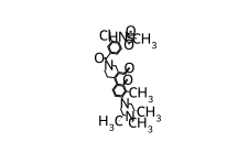 Cc1c(N2C[C@@H](C)N(C)[C@@H](C)C2)ccc2c3c(c(=O)oc12)CN(C(=O)c1ccc(NS(C)(=O)=O)c(Cl)c1)CC3